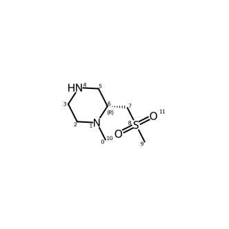 CN1CCNC[C@@H]1CS(C)(=O)=O